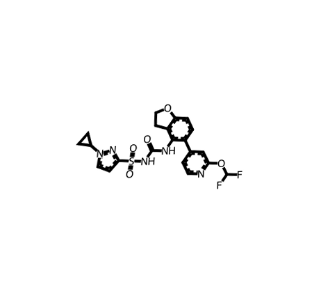 O=C(Nc1c(-c2ccnc(OC(F)F)c2)ccc2c1CCO2)NS(=O)(=O)c1ccn(C2CC2)n1